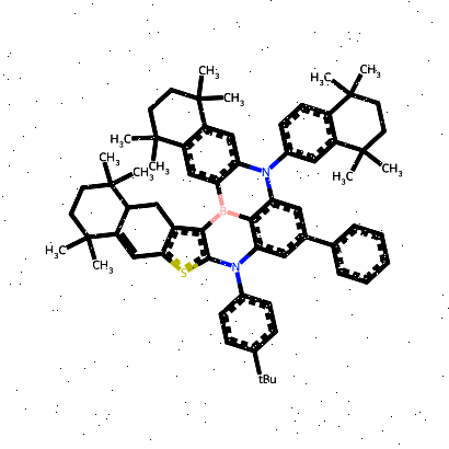 CC1(C)CCC(C)(C)C2Cc3c(sc4c3B3c5cc6c(cc5N(c5ccc7c(c5)C(C)(C)CCC7(C)C)c5cc(-c7ccccc7)cc(c53)N4c3ccc(C(C)(C)C)cc3)C(C)(C)CCC6(C)C)C=C21